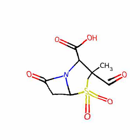 CC1(C=O)C(C(=O)O)N2C(=O)CC2S1(=O)=O